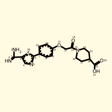 N=C(N)c1cnc(-c2ccc(OCC(=O)N3CCC(C(=O)O)CC3)cc2)s1